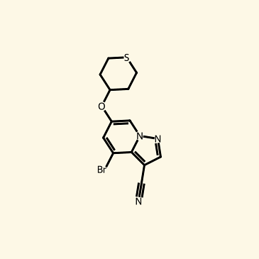 N#Cc1cnn2cc(OC3CCSCC3)cc(Br)c12